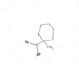 CC1(P(Br)Br)CCCCC1